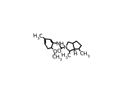 COC1CC=C(C)C=C1NC(=O)N1CC2CCC(C)[C@@H]2C1C